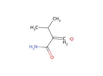 C=C(C(N)=O)C(C)C.[O]